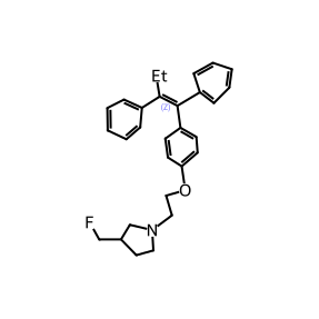 CC/C(=C(\c1ccccc1)c1ccc(OCCN2CCC(CF)C2)cc1)c1ccccc1